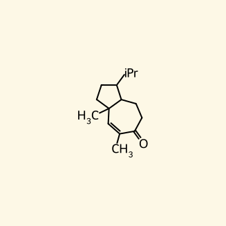 CC1=CC2(C)CCC(C(C)C)C2CCC1=O